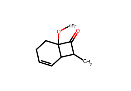 CCCOC12CCC=CC1C(C)C2=O